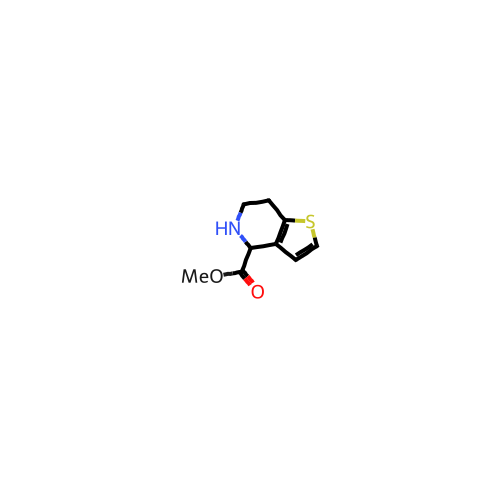 COC(=O)C1NCCc2sccc21